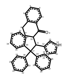 O=C1c2ccccc2CCC1C(c1c[nH]cn1)C(c1ccccc1)(c1ccccc1)c1ccccc1